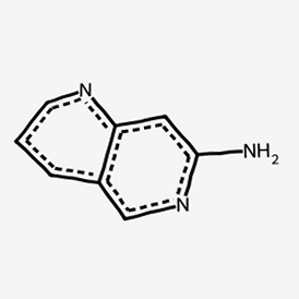 Nc1cc2ncccc2cn1